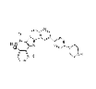 NC(=O)c1c(-c2c(Cl)cccc2Cl)nc2c3cc(-c4ccc(N5CCNCC5)cc4)cnc3ccn12